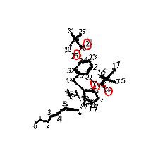 CCCCCC=C[C@H]1[C@@H]2CC(OC(=O)C(C)(C)C)C(Cc3cccc(OC(=O)C(C)(C)C)c3)[C@H]12